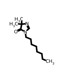 CCCCCCCCN1C=NC(C)(C)C1=O